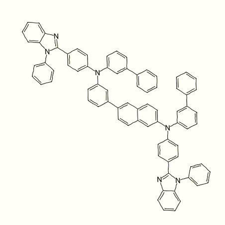 c1ccc(-c2cccc(N(c3ccc(-c4nc5ccccc5n4-c4ccccc4)cc3)c3cccc(-c4ccc5cc(N(c6ccc(-c7nc8ccccc8n7-c7ccccc7)cc6)c6cccc(-c7ccccc7)c6)ccc5c4)c3)c2)cc1